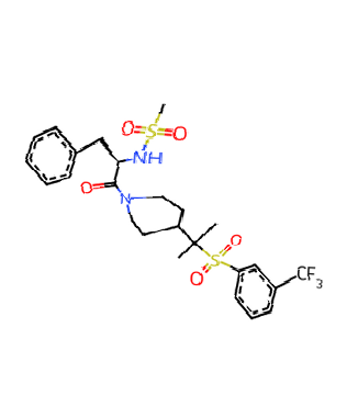 CC(C)(C1CCN(C(=O)[C@@H](Cc2ccccc2)NS(C)(=O)=O)CC1)S(=O)(=O)c1cccc(C(F)(F)F)c1